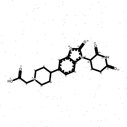 O=C(O)CN1CCC(c2ccc3c(c2)oc(=O)n3C2CCC(=O)NC2=O)CC1